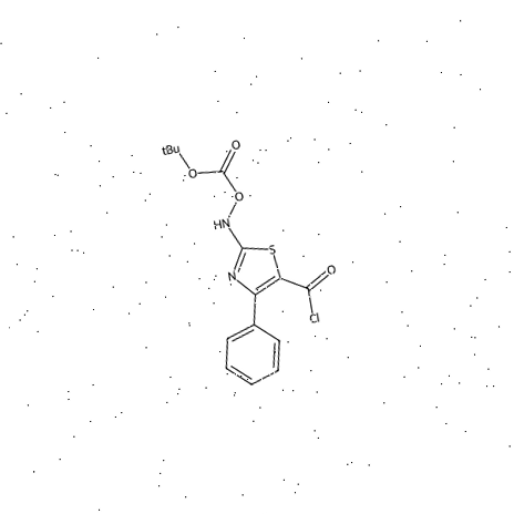 CC(C)(C)OC(=O)ONc1nc(-c2ccccc2)c(C(=O)Cl)s1